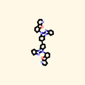 c1ccc2c(c1)nc1n(-c3cccc4c3oc3ncccc34)c3ccc(-c4ccc5c(c4)n4c6ccccc6nc4n5-c4cccc5c4oc4ncccc45)cc3n21